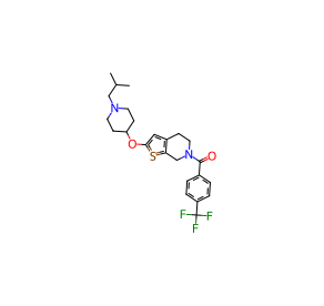 CC(C)CN1CCC(Oc2cc3c(s2)CN(C(=O)c2ccc(C(F)(F)F)cc2)CC3)CC1